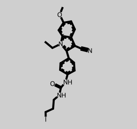 CCn1c(-c2ccc(NC(=O)NCCCI)cc2)c(C#N)c2ccc(OC)cc21